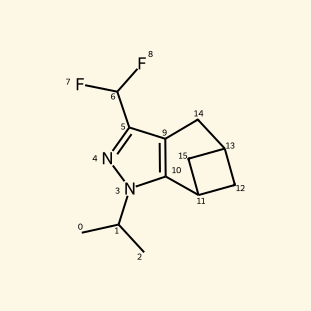 CC(C)n1nc(C(F)F)c2c1C1CC(C2)C1